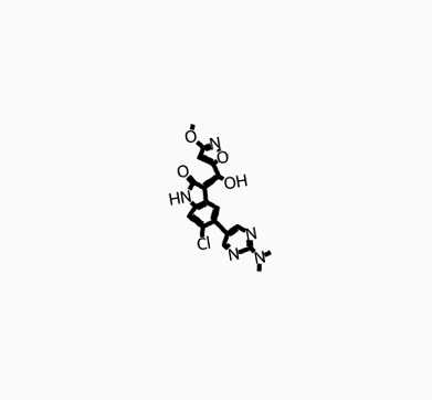 COc1cc(C(O)=C2C(=O)Nc3cc(Cl)c(-c4cnc(N(C)C)nc4)cc32)on1